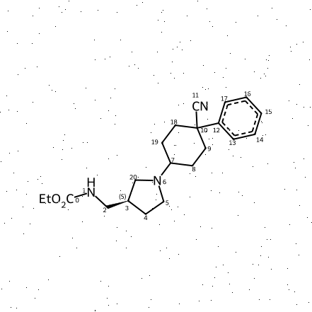 CCOC(=O)NC[C@@H]1CCN(C2CCC(C#N)(c3ccccc3)CC2)C1